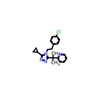 CC(C)(c1ccccn1)c1nnc(C2CC2)n1CCc1ccc(Cl)cc1